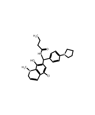 CCCC(=O)NC(c1ccc(N2CCCC2)cc1)c1cc(Cl)c2c(c1O)N(C)CC=C2